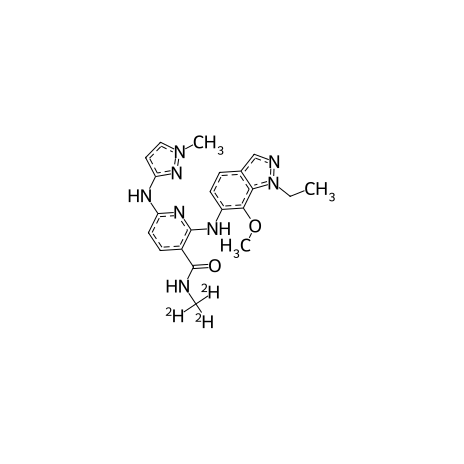 [2H]C([2H])([2H])NC(=O)c1ccc(Nc2ccn(C)n2)nc1Nc1ccc2cnn(CC)c2c1OC